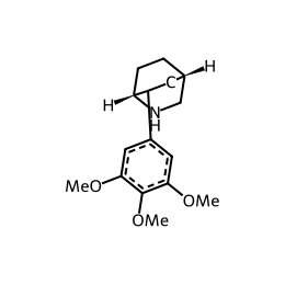 COc1cc(C2C[C@@H]3CC[C@H]2NC3)cc(OC)c1OC